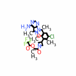 COc1c(C(C)n2nc(C)c3c(N)ncnc32)cc(Cl)c(C)c1C1CN(C(=O)[C@H](C)OC(=O)C(F)(F)F)C1